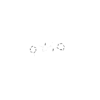 O=C(N[C@H]1CCN(Cc2cccc(C(F)(F)F)c2)C1=O)c1cc(C(F)(F)F)ccc1O